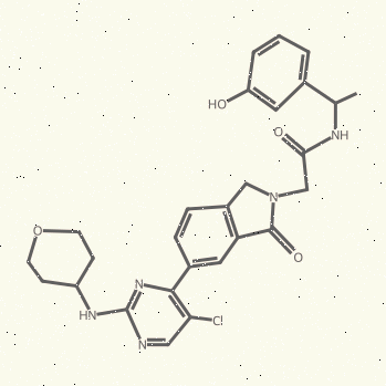 CC(NC(=O)CN1Cc2ccc(-c3nc(NC4CCOCC4)ncc3Cl)cc2C1=O)c1cccc(O)c1